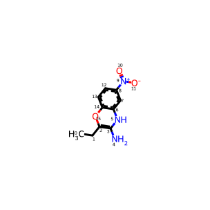 CCC1=C(N)Nc2cc([N+](=O)[O-])ccc2O1